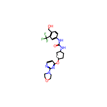 O=C(Nc1ccc(CO)c(C(F)(F)F)c1)NC1CCC(Oc2ccnc(N3CCOCC3)n2)CC1